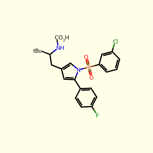 CC(C)(C)C(Cc1cc(-c2ccc(F)cc2)n(S(=O)(=O)c2cccc(Cl)c2)c1)NC(=O)O